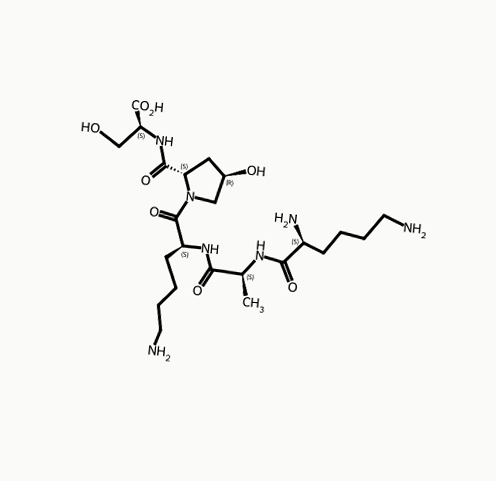 C[C@H](NC(=O)[C@@H](N)CCCCN)C(=O)N[C@@H](CCCCN)C(=O)N1C[C@H](O)C[C@H]1C(=O)N[C@@H](CO)C(=O)O